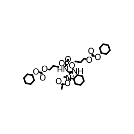 CC(=O)O[N+](C)(C(=N)NP(=O)(OCCCOC(=O)OC1CCCCC1)OCCCOC(=O)OC1CCCCC1)C1CCCCC1